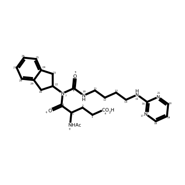 CC(=O)NC(CCC(=O)O)C(=O)N(C(=O)NCCCCNc1ncccn1)C1Cc2ccccc2C1